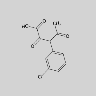 CC(=O)C(C(=O)C(=O)O)c1cccc(Cl)c1